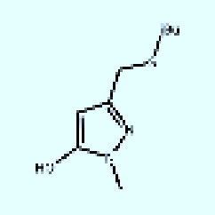 CCC(C)SCc1cc(O)n(C)n1